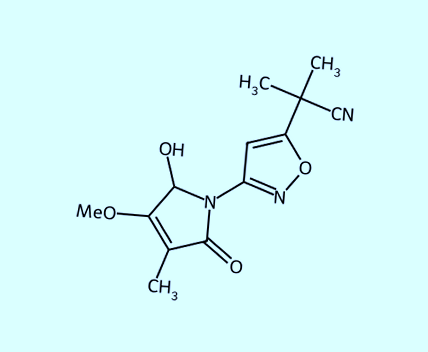 COC1=C(C)C(=O)N(c2cc(C(C)(C)C#N)on2)C1O